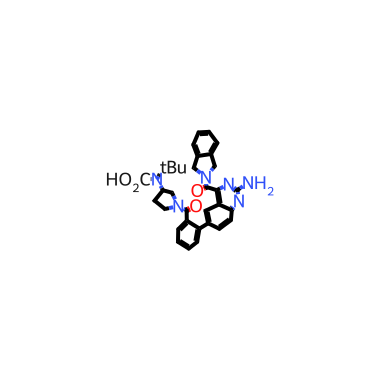 CC(C)(C)N(C(=O)O)C1CCN(C(=O)c2ccccc2-c2ccc3nc(N)nc(C(=O)N4Cc5ccccc5C4)c3c2)C1